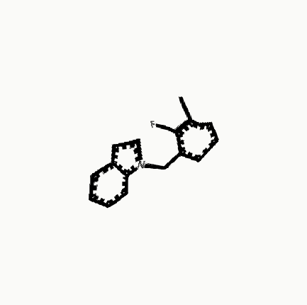 Cc1cccc(Cn2ccc3ccccc32)c1F